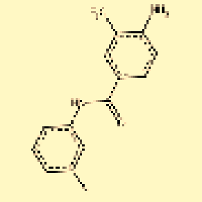 Nc1ccc(C(=O)Nc2cccc(Cl)c2)cc1C(F)(F)F